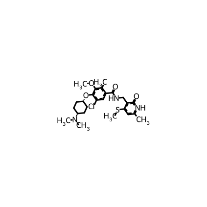 COc1c(C)c(C(=O)NCc2c(SC)cc(C)[nH]c2=O)cc(Cl)c1O[C@H]1CC[C@H](N(C)C)CC1